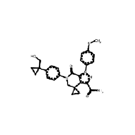 COc1ccc(-n2nc(C(N)=O)c3c2C(=O)N(c2ccc(C4(CO)CC4)cc2)CC32CC2)cc1